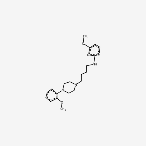 COc1ccnc(NCCCCN2CCN(c3ccccc3OC)CC2)n1